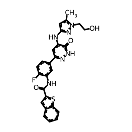 Cc1cc(Nc2cc(-c3ccc(F)c(NC(=O)c4cc5ccccc5s4)c3)n[nH]c2=O)nn1CCO